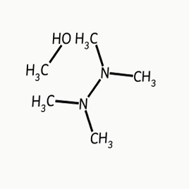 CN(C)N(C)C.CO